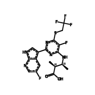 C[C@H](Nc1nc(-c2c[nH]c3ncc(F)cc23)nc(SCC(F)(F)F)c1F)[C@H](C)C(=O)O